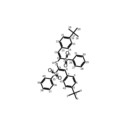 CC(C)(C)c1ccc(C=C(SC(=Cc2ccc(C(C)(C)C)cc2)S(=O)(=O)c2ccccc2)S(=O)(=O)c2ccccc2)cc1